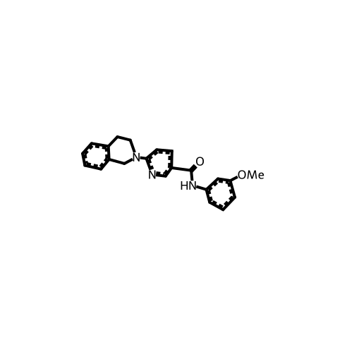 COc1cccc(NC(=O)c2ccc(N3CCc4ccccc4C3)nc2)c1